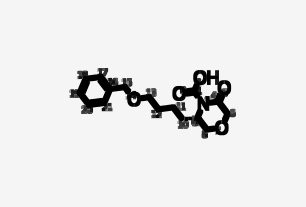 O=C(O)N1C(=O)COC[C@@H]1CCCCOCc1ccccc1